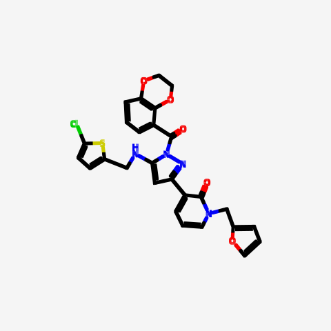 O=C(c1cccc2c1OCCO2)n1nc(-c2cccn(Cc3ccco3)c2=O)cc1NCc1ccc(Cl)s1